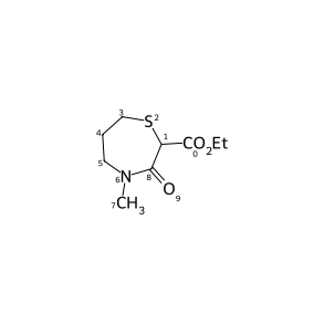 CCOC(=O)C1SCCCN(C)C1=O